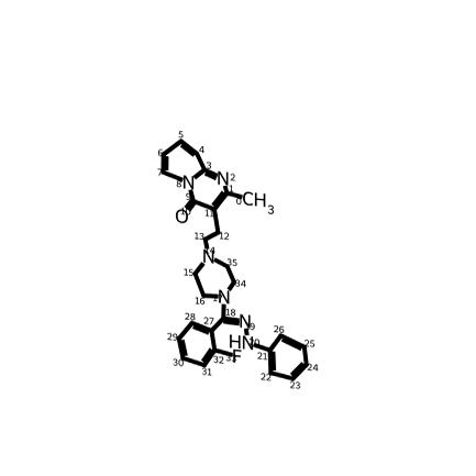 Cc1nc2ccccn2c(=O)c1CCN1CCN(C(=NNc2ccccc2)c2ccccc2F)CC1